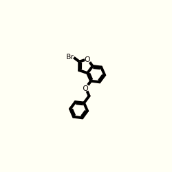 Brc1cc2c(OCc3ccccc3)cccc2o1